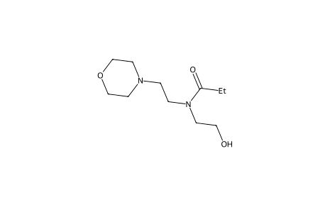 CCC(=O)N(CCO)CCN1CCOCC1